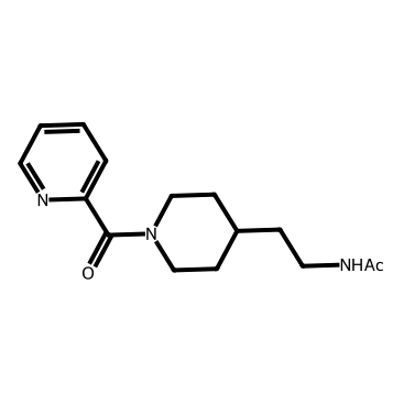 CC(=O)NCCC1CCN(C(=O)c2ccccn2)CC1